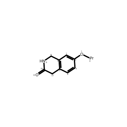 CC(C)Oc1ccc2c(c1)CNC(=O)C2